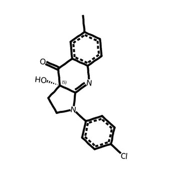 Cc1ccc2c(c1)C(=O)[C@]1(O)CCN(c3ccc(Cl)cc3)C1=N2